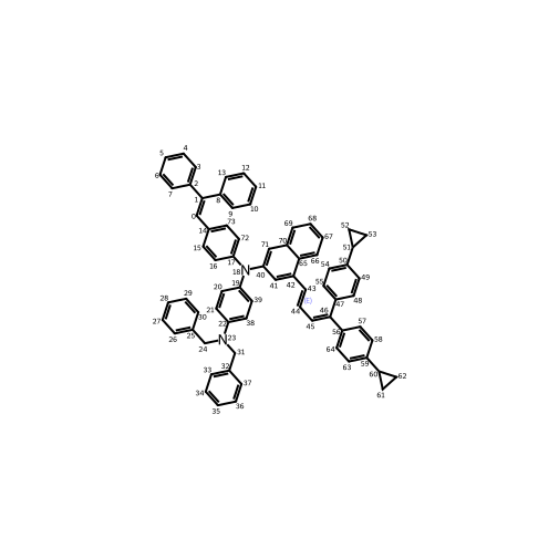 C(=C(c1ccccc1)c1ccccc1)c1ccc(N(c2ccc(N(Cc3ccccc3)Cc3ccccc3)cc2)c2cc(/C=C/C=C(c3ccc(C4CC4)cc3)c3ccc(C4CC4)cc3)c3ccccc3c2)cc1